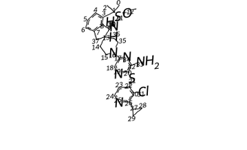 CC1(C)c2cccc3c2[C@@H](N[S@+]1[O-])C1(CCN(c2cnc(Sc4ccnc(C5CC5)c4Cl)c(N)n2)CC1)C3